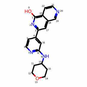 Oc1nc(-c2ccnc(NC3CCOCC3)c2)cc2cnccc12